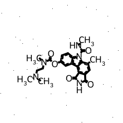 CNC(=O)n1c2ccc(OC(=O)N(C)CCN(C)C)cc2c2c3c(cc(C)c21)C(=O)NC3=O